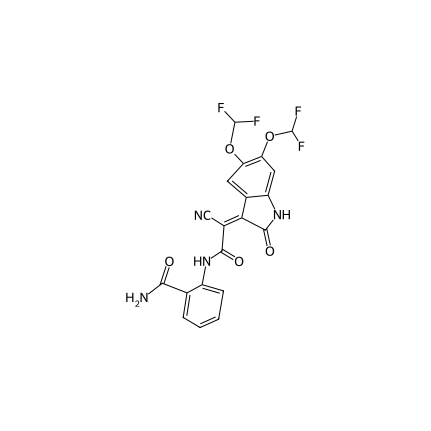 N#C/C(C(=O)Nc1ccccc1C(N)=O)=C1/C(=O)Nc2cc(OC(F)F)c(OC(F)F)cc21